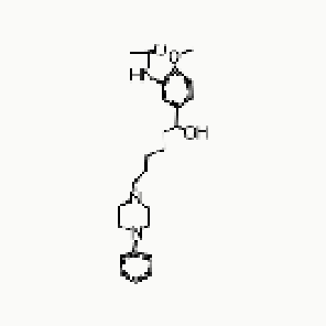 COc1ccc(C(O)CCCCCN2CCN(c3ccccc3)CC2)cc1NC(C)=O